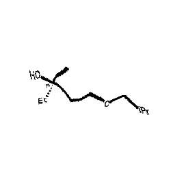 CC[C@@](C)(O)CCOCC(C)C